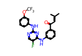 CC(C)=CC(=O)c1cccc(Nc2nc(Nc3cccc(OC(F)(F)F)c3)ncc2F)c1